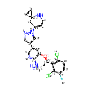 C[C@@H](Oc1cc(-c2cnn(C3CCNC4(CC4)C3)c2)cnc1N)c1c(Cl)ccc(F)c1Cl